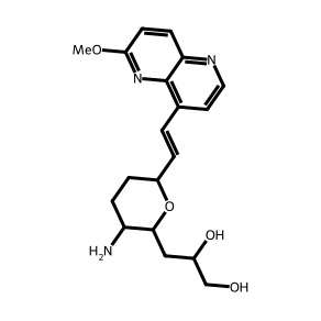 COc1ccc2nccc(C=CC3CCC(N)C(CC(O)CO)O3)c2n1